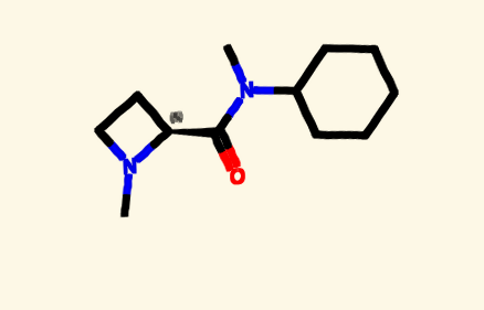 CN(C(=O)[C@@H]1CCN1C)C1CCCCC1